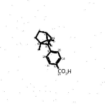 CC1(C)C2CCC1(C)C(c1ccc(C(=O)O)cc1)C2